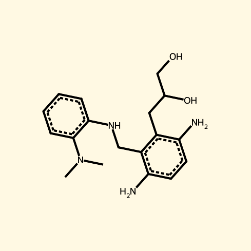 CN(C)c1ccccc1NCc1c(N)ccc(N)c1CC(O)CO